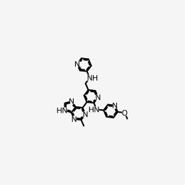 COc1ccc(Nc2ncc(CNc3cccnc3)cc2-c2nc(C)nc3[nH]cnc23)cn1